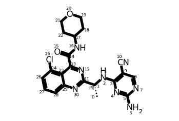 C[C@@H](Nc1nc(N)ncc1C#N)c1nc(C(=O)NC2CCOCC2)c2c(Cl)cccc2n1